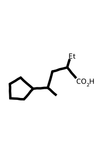 CCC(CC(C)C1CCCC1)C(=O)O